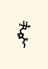 CCOC(=O)c1cn(CC2CC(F)(F)C2(F)F)nn1